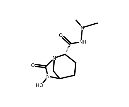 CN(C)NC(=O)[C@@H]1CCC2CN1C(=O)N2O